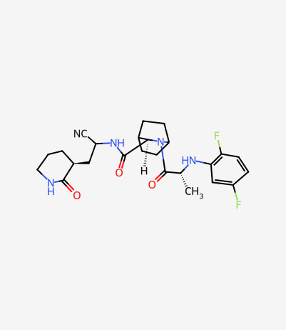 C[C@@H](Nc1cc(F)ccc1F)C(=O)N1C2CCC(CC2)[C@@H]1C(=O)NC(C#N)C[C@@H]1CCCNC1=O